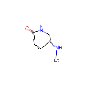 CCNC1CCC(=O)NC1